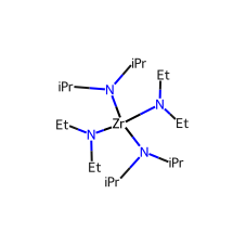 CC[N](CC)[Zr]([N](CC)CC)([N](C(C)C)C(C)C)[N](C(C)C)C(C)C